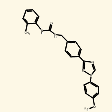 Cc1ccccc1NC(=O)NCc1ccc(-c2ncn(-c3ccc(OC(F)(F)F)cc3)n2)cc1